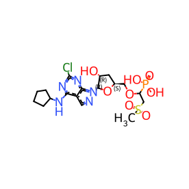 CS(=O)(=O)CC(OC[C@@H]1C[C@@H](O)[C@H](n2ncc3c(NC4CCCC4)nc(Cl)nc32)O1)P(=O)(O)O